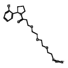 [N-]=[N+]=NCCOCCOCCOCCC(=O)N1CCCC1c1ccccc1Cl